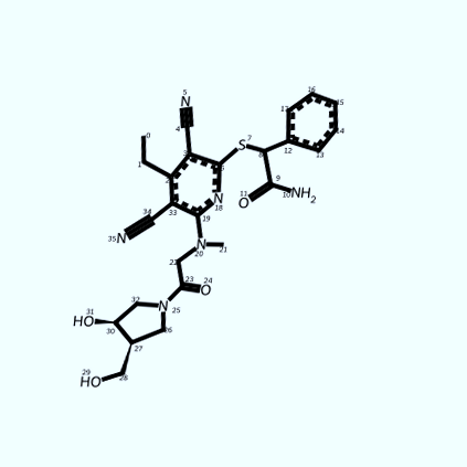 CCc1c(C#N)c(SC(C(N)=O)c2ccccc2)nc(N(C)CC(=O)N2C[C@@H](CO)[C@@H](O)C2)c1C#N